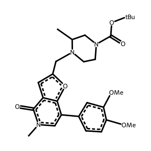 COc1ccc(-c2cn(C)c(=O)c3cc(CN4CCN(C(=O)OC(C)(C)C)CC4C)oc23)cc1OC